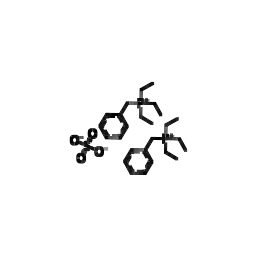 CC[P+](CC)(CC)Cc1ccccc1.CC[P+](CC)(CC)Cc1ccccc1.O=S(=O)([O-])[O-]